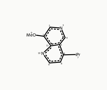 COc1cncc2c(C(C)C)ccnc12